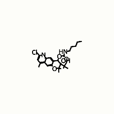 CCCCCNC(=O)OC1c2cc3nc(Cl)cc(C)c3cc2OC(C)(C)C1(O)C(C)(C)C